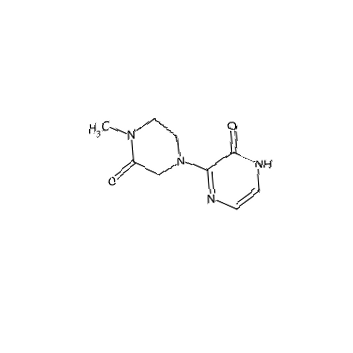 CN1CCN(c2ncc[nH]c2=O)CC1=O